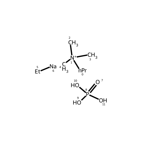 CCC[N+](C)(C)C.C[CH2][Na].O=P(O)(O)O